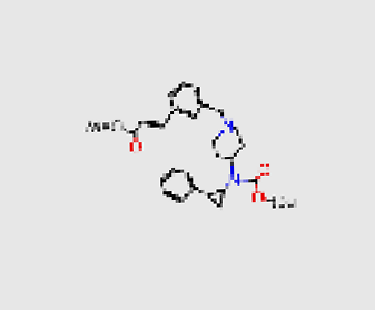 COC(=O)/C=C/c1cccc(CN2CCC(N(C(=O)OC(C)(C)C)[C@@H]3C[C@H]3c3ccccc3)CC2)c1